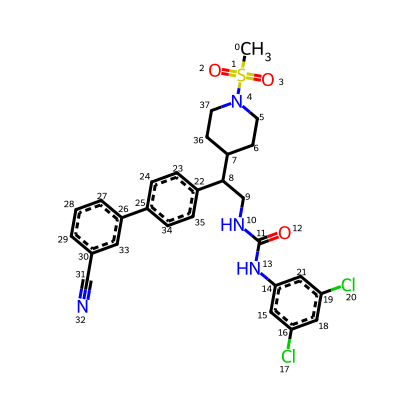 CS(=O)(=O)N1CCC(C(CNC(=O)Nc2cc(Cl)cc(Cl)c2)c2ccc(-c3cccc(C#N)c3)cc2)CC1